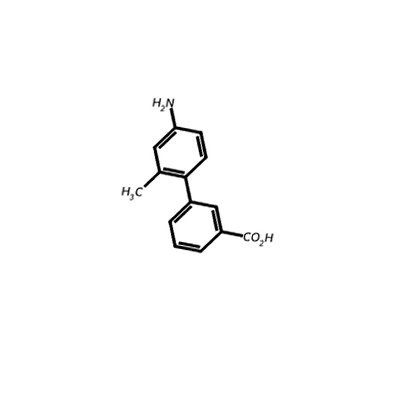 Cc1cc(N)ccc1-c1cccc(C(=O)O)c1